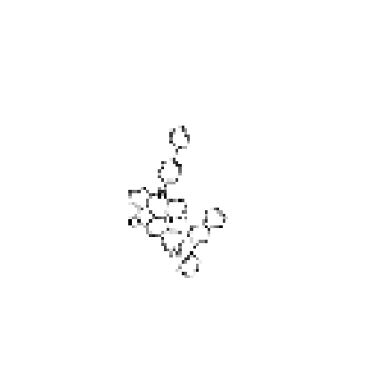 c1ccc(-c2ccc(N(c3ccc(-c4cc(-c5ccccc5)cc5ccccc45)cc3)c3cccc4oc5cc6cnccc6cc5c34)cc2)cc1